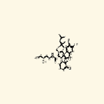 CC(C)CC(C)(C)C[C@H]1N(C)[C@@H](C(=O)NCC[C@H](O)CO)[C@H](C2C=CC=C(Cl)C2F)[C@@]12C(=O)Nc1cc(F)c(F)cc12